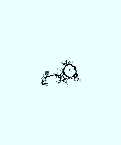 COc1cc2cc(c1Cl)N(C)C(=O)CC(OC(=O)[C@H](C)N(C)C(=O)CCC(C)(C)SSCCC(C(=O)ON1C(=O)CCC1=O)S(=O)(=O)O)[C@@]1(C)O[C@@H]1C(C)C1CC(O)(NC(=O)O1)C(O)/C=C/C=C(\C)C2